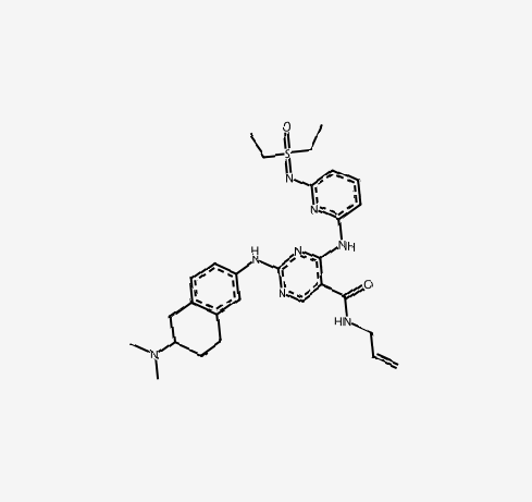 C=CCNC(=O)c1cnc(Nc2ccc3c(c2)CCC(N(C)C)C3)nc1Nc1cccc(N=S(=O)(CC)CC)n1